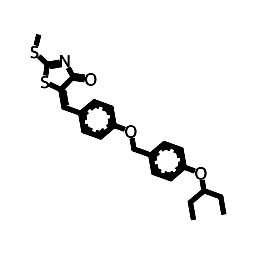 CCC(CC)Oc1ccc(COc2ccc(C=C3SC(SC)=NC3=O)cc2)cc1